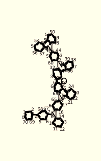 c1ccc(-c2ccc(N(c3ccccc3)c3ccc(-n4c5ccccc5c5c6oc7c(ccc8c7c7ccccc7n8-c7ccc(-n8c9ccccc9c9ccccc98)cc7)c6ccc54)cc3)cc2)cc1